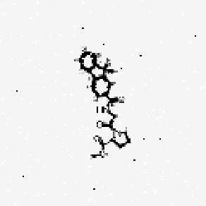 COC(=O)[C@@H]1CCCN1C(=O)CNC(=O)c1ccc2c(c1)C(F)(F)c1ccccc1-2